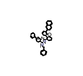 N/C(=N\C(=N/Cc1ccccc1)c1ccc(-c2ccccc2)cc1)c1cccc2oc3c(-c4ccc5ccccc5c4)cccc3c12